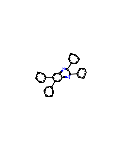 c1ccc(-c2cc3nc(-c4ccccc4)c(-c4ccccc4)nc3cc2-c2ccccc2)cc1